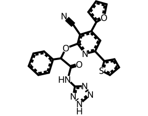 N#Cc1c(-c2ccco2)cc(-c2cccs2)nc1OC(C(=O)Nc1nn[nH]n1)c1ccccc1